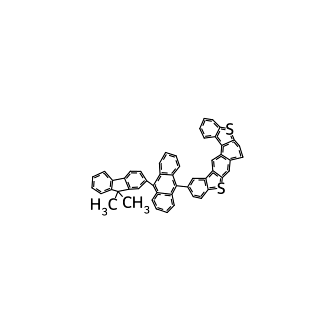 CC1(C)c2ccccc2-c2ccc(-c3c4ccccc4c(-c4ccc5sc6cc7ccc8sc9ccccc9c8c7cc6c5c4)c4ccccc34)cc21